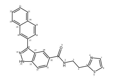 O=C(NCCc1nccs1)c1ccc2[nH]nc(-c3ccc4ccccc4c3)c2c1